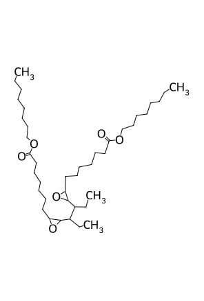 CCCCCCCCOC(=O)CCCCCCC1OC1C(CC)C(CC)C1OC1CCCCCCC(=O)OCCCCCCCC